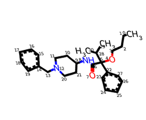 CCCCOC(C(=O)NC1CCN(Cc2ccccc2)CC1)(c1ccccc1)C(C)C